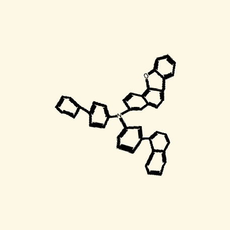 c1ccc(-c2ccc(N(c3cccc(-c4cccc5ccccc45)c3)c3ccc4c(ccc5c6ccccc6oc45)c3)cc2)cc1